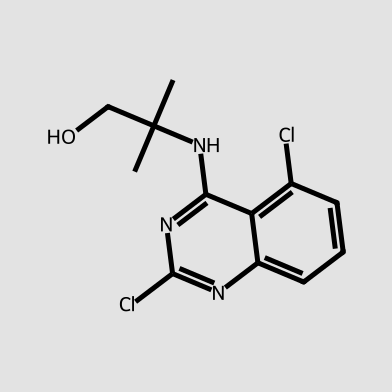 CC(C)(CO)Nc1nc(Cl)nc2cccc(Cl)c12